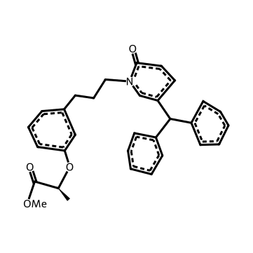 COC(=O)[C@H](C)Oc1cccc(CCCn2cc(C(c3ccccc3)c3ccccc3)ccc2=O)c1